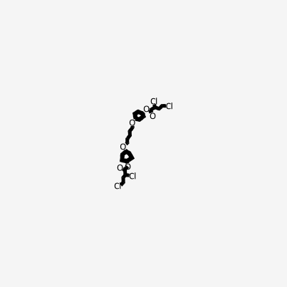 O=C(Oc1ccc(OCCCCCOc2ccc(OC(=O)C(Cl)CCCl)cc2)cc1)C(Cl)CCCl